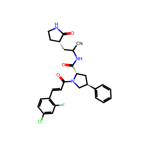 N#CC(C[C@@H]1CCNC1=O)NC(=O)[C@@H]1C[C@@H](c2ccccc2)CN1C(=O)/C=C/c1ccc(Cl)cc1F